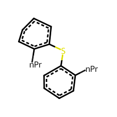 CCCc1ccccc1Sc1ccccc1CCC